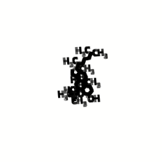 CC(C)CCC[C@@H](C)[C@H]1CC[C@H]2[C@@H]3C[C@](O)(CN(C)C)[C@@]4(O)C[C@H](O)CC[C@]4(C)[C@H]3CC[C@]12C